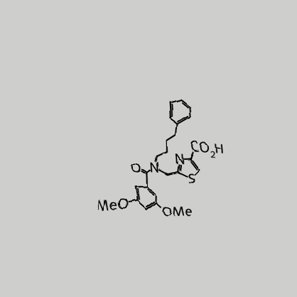 COc1cc(OC)cc(C(=O)N(CCCCc2ccccc2)Cc2nc(C(=O)O)cs2)c1